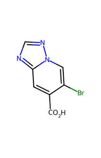 O=C(O)c1cc2ncnn2cc1Br